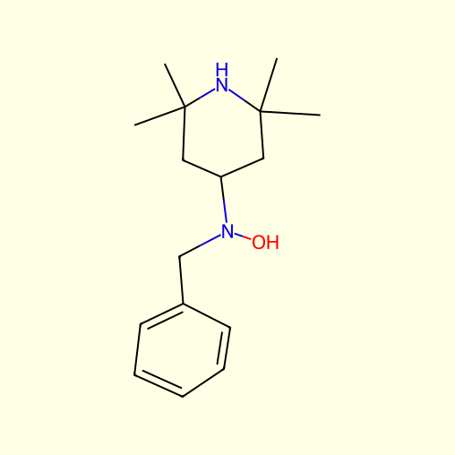 CC1(C)CC(N(O)Cc2ccccc2)CC(C)(C)N1